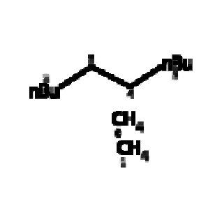 C.C.CCCCCCCCCC